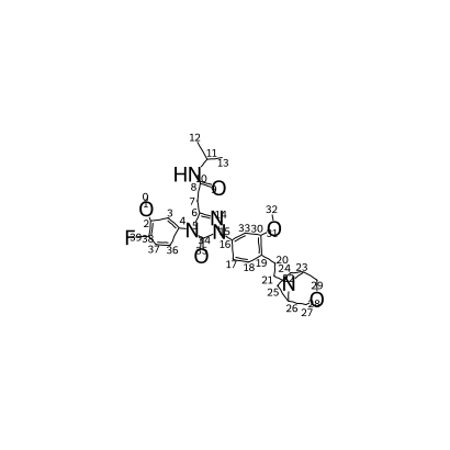 COc1cc(-n2c(CC(=O)NC(C)C)nn(-c3ccc(CCN4C5CCC4COC5)c(OC)c3)c2=O)ccc1F